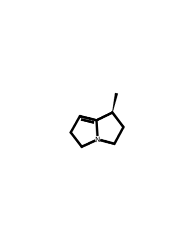 C[C@H]1CCN2CCC=C12